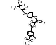 C[C@H](OC1CCN(OC(=O)OC(C)(C)C)CC1)c1nc(-c2ccc(S(C)(=O)=O)c(F)c2)no1